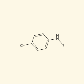 Clc1ccc(NI)cc1